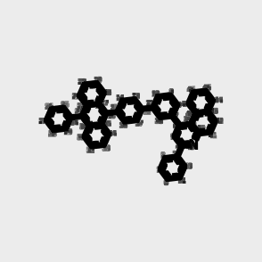 c1ccc(-c2cc(-c3cccc(-c4ccc(-c5c6ccccc6c(-c6ccccc6)c6ccccc56)cc4)c3)c3c(ccc4ccccc43)n2)cc1